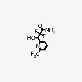 NC(=O)C(F)(F)C(O)c1cccc(C(F)(F)F)n1